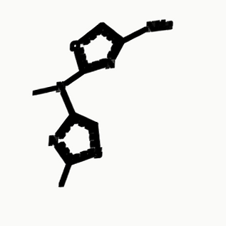 CNc1coc(N(C)c2csc(C)n2)n1